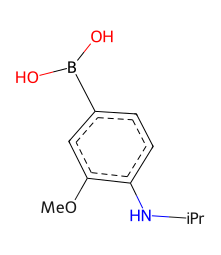 COc1cc(B(O)O)ccc1NC(C)C